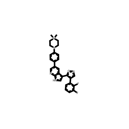 C[N+]1(C)CCN(c2ccc(-c3cnc4[nH]cc(-c5oncc5-c5cccc(F)c5F)c4c3)cc2)CC1